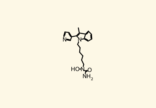 Cc1c(-c2cccnc2)n(CCCCCCN(O)C(N)=O)c2ccccc12